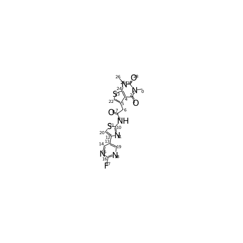 Cn1c(=O)c2c(CC(=O)Nc3nc(-c4cnc(F)nc4)cs3)csc2n(C)c1=O